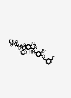 CCC(OCCS(=O)(=O)CC)C1(c2cc3c(Nc4ccc(OCc5cccc(F)c5)c(Br)c4)ncnc3cc2OC)CC=CO1